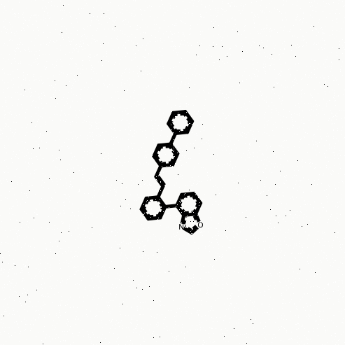 C(=Cc1ccccc1-c1cccc2ocnc12)c1ccc(-c2ccccc2)cc1